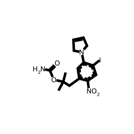 CC(C)(Cc1cc(N2CC=CC2)c(I)cc1[N+](=O)[O-])OC(N)=O